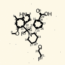 COc1cc(C)c2[nH]ccc2c1C(F)(F)N1CC[C@@H](OCCF)C[C@H]1c1ccc(C(=O)O)cc1